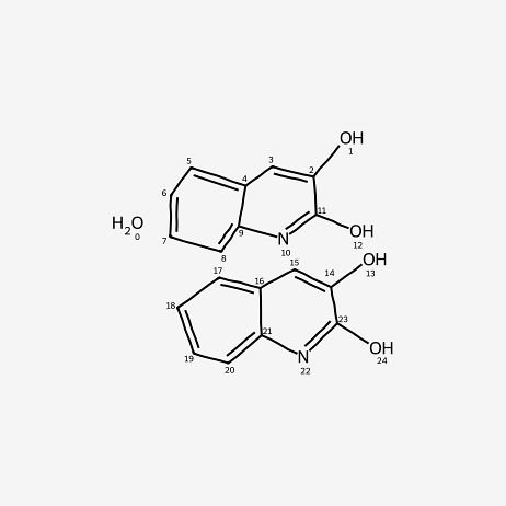 O.Oc1cc2ccccc2nc1O.Oc1cc2ccccc2nc1O